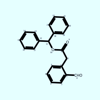 O=Cc1ccccc1CC(=O)OC(c1ccccc1)c1ccccc1